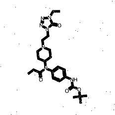 CCC(=O)N(c1ccc(NC(=O)OC(C)(C)C)cc1)C1CCN(CCn2nnn(CC)c2=O)CC1